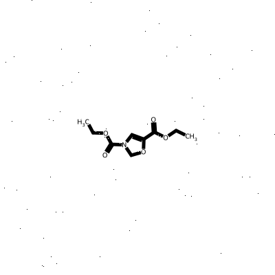 CCOC(=O)C1=CN(C(=O)OCC)CO1